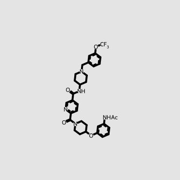 CC(=O)Nc1cccc(OC2CCN(C(=O)c3ccc(C(=O)NC4CCN(Cc5cccc(OC(F)(F)F)c5)CC4)cn3)CC2)c1